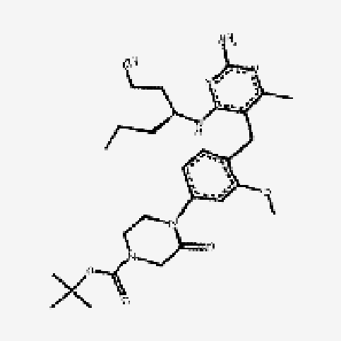 CCC[C@@H](CCO)Nc1nc(N)nc(C)c1Cc1ccc(N2CCN(C(=O)OC(C)(C)C)CC2=O)cc1OC